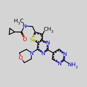 Cc1c(CN(C)C(=O)C2CC2)sc2c(N3CCOCC3)nc(-c3cnc(N)nc3)nc12